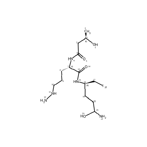 C[C@@H](O)CC(=O)N[C@@H](CCCNN)C(=O)N[C@@H](CI)CCC(N)O